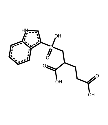 O=C(O)CCC(CP(=O)(O)c1c[nH]c2ccccc12)C(=O)O